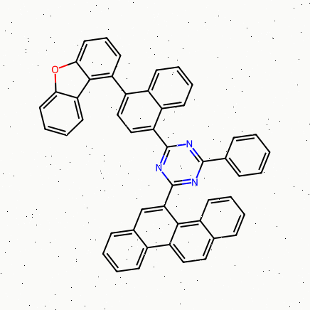 c1ccc(-c2nc(-c3ccc(-c4cccc5oc6ccccc6c45)c4ccccc34)nc(-c3cc4ccccc4c4ccc5ccccc5c34)n2)cc1